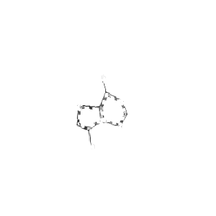 CC(C)c1ncnn2c(Cl)cnc12